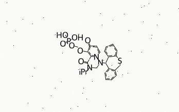 CC(C)N1CN(C2c3ccccc3CSc3ccccc32)n2ccc(=O)c(OCOP(=O)(O)O)c2C1=O